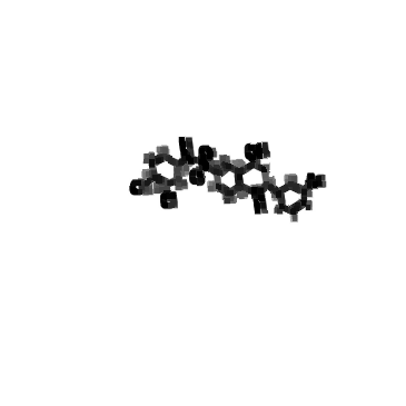 CC(=O)c1cccc(C2CC(O)c3cc(S(=O)(=O)Nc4ccc(Cl)c(Cl)c4)ccc3N2)c1